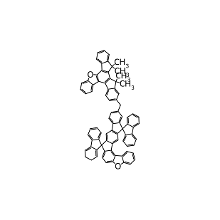 CC1(C)c2ccccc2-c2c1c1c(c3c2oc2ccccc23)-c2ccc(Cc3ccc4c(c3)C3(c5ccccc5-c5ccccc53)c3cc5c(cc3-4)C3(C4=CCCC=C4c4ccccc43)c3ccc4oc6ccccc6c4c3-5)cc2C1(C)C